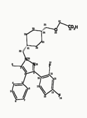 Cc1c(-c2ccccc2)c(-c2ccc(F)cc2F)nn1C[C@H]1CC[C@@H](COCC(=O)O)CC1